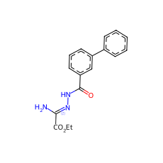 CCOC(=O)/C(N)=N/NC(=O)c1cccc(-c2ccccc2)c1